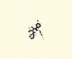 COc1ccc2c(c1)c(/C(C=O)=C(/C(N)=O)c1c[nH]c3ccccc13)cn2CCCOSC